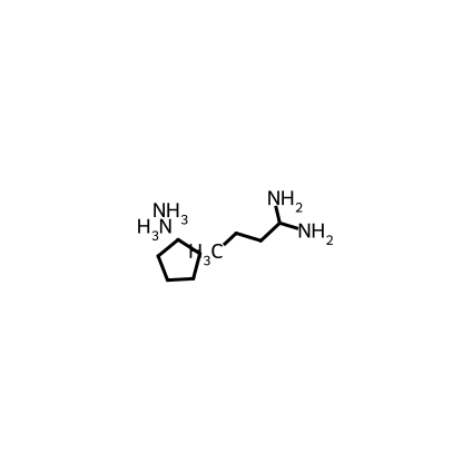 C1CCCC1.CCCC(N)N.N.N